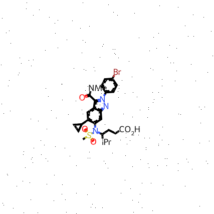 CNC(=O)c1c2cc(C3CC3)c(N(C(CCC(=O)O)C(C)C)S(C)(=O)=O)cc2nn1-c1ccc(Br)cc1